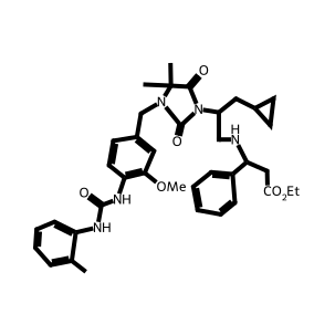 CCOC(=O)CC(NCC(CC1CC1)N1C(=O)N(Cc2ccc(NC(=O)Nc3ccccc3C)c(OC)c2)C(C)(C)C1=O)c1ccccc1